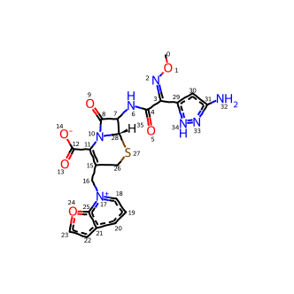 CON=C(C(=O)NC1C(=O)N2C(C(=O)[O-])=C(C[n+]3cccc4ccoc43)CS[C@@H]12)c1cc(N)n[nH]1